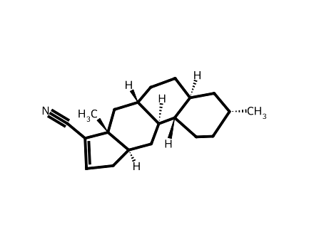 C[C@@H]1CC[C@H]2[C@@H](CC[C@H]3C[C@@]4(C)C(C#N)=CC[C@@H]4C[C@@H]32)C1